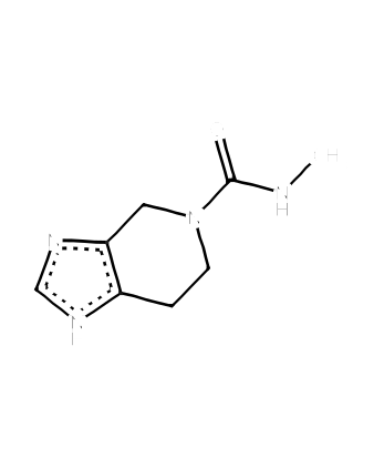 CNC(=O)N1CCc2[nH]cnc2C1